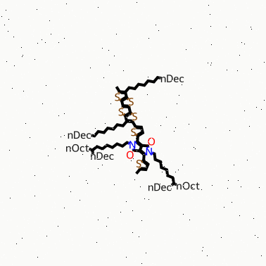 CCCCCCCCCCCCCCCCCc1c(C)sc2c1sc1c3sc(-c4ccc(C5=C6C(=O)N(CCCCCCCC(CCCCCCCC)CCCCCCCCCC)C(c7ccc(C)s7)=C6C(=O)N5CCCCCCCC(CCCCCCCC)CCCCCCCCCC)s4)c(CCCCCCCCCCCCCCCCC)c3sc21